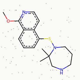 COc1nccc2c(SN3CCCNCC3(C)C)cccc12